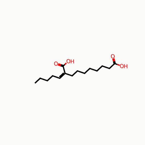 CCCCC=C(CCCCCCCC(=O)O)C(=O)O